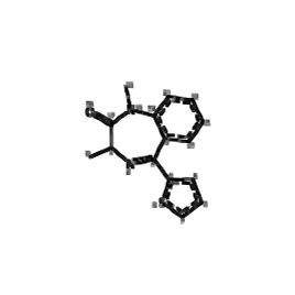 CC1N=C(c2cccs2)c2ccccc2N(C)C1=O